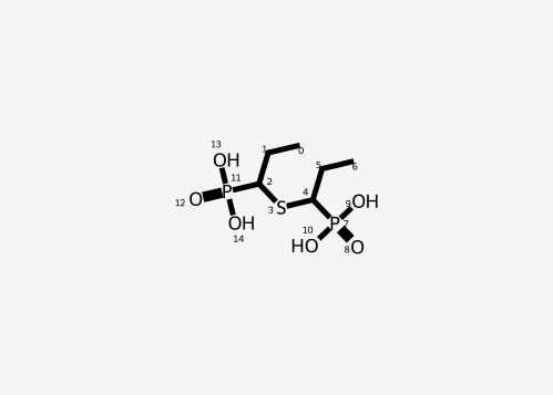 CCC(SC(CC)P(=O)(O)O)P(=O)(O)O